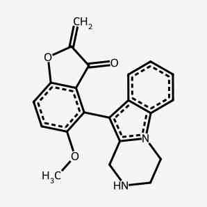 C=C1Oc2ccc(OC)c(-c3c4n(c5ccccc35)CCNC4)c2C1=O